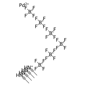 CC#[NH+].CC#[NH+].CC#[NH+].CC#[NH+].F[B-](F)(F)F.F[B-](F)(F)F.F[B-](F)(F)F.F[B-](F)(F)F.F[B-](F)(F)F.F[B-](F)(F)F.[Pd+2]